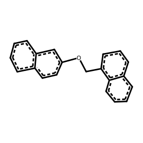 c1ccc2cc(OCc3cccc4ccccc34)ccc2c1